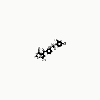 CC(C)c1cc(C(=O)c2cccc(NC(=O)Nc3ccc(Cl)cc3Cl)c2)c2c(N)ncnn12